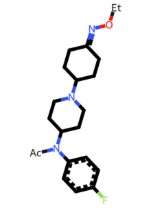 CCON=C1CCC(N2CCC(N(C(C)=O)c3ccc(F)cc3)CC2)CC1